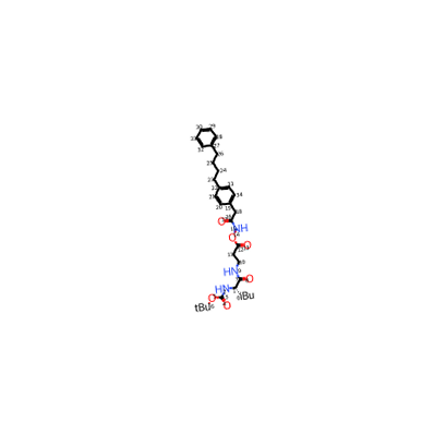 CCC(C)[C@H](NC(=O)OC(C)(C)C)C(=O)NCCC(=O)ONC(=O)Cc1ccc(CCCCc2ccccc2)cc1